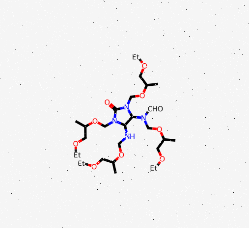 CCOCC(C)OCNC1C(N(C=O)COC(C)COCC)N(COC(C)COCC)C(=O)N1COC(C)COCC